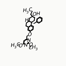 CCC[C@@]1(O)CC[C@@]2(Cc3ccccc3)c3ccc(OCc4cc(OC)nc(OC)n4)cc3CC[C@@H]2C1